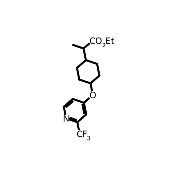 CCOC(=O)C(C)C1CCC(Oc2ccnc(C(F)(F)F)c2)CC1